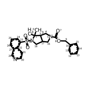 CC1(C)C2CN(C(=O)OCc3ccccc3)CC2CN1S(=O)(=O)c1cccc2cnccc12